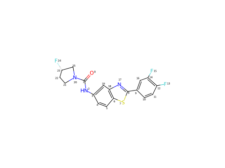 O=C(Nc1ccc2sc(-c3ccc(F)c(F)c3)nc2c1)N1CC[C@H](F)C1